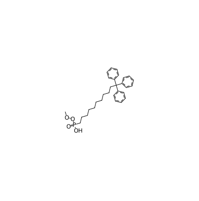 COOP(=O)(O)CCCCCCCCCCC(c1ccccc1)(c1ccccc1)c1ccccc1